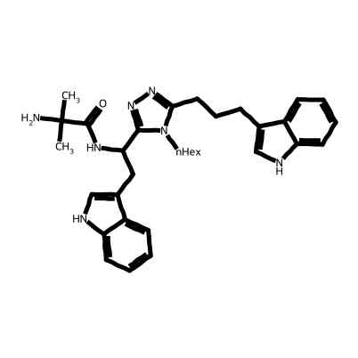 CCCCCCn1c(CCCc2c[nH]c3ccccc23)nnc1C(Cc1c[nH]c2ccccc12)NC(=O)C(C)(C)N